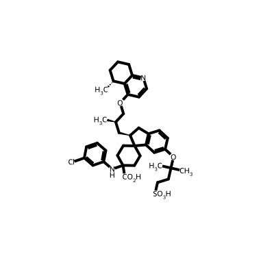 C[C@@H](COc1ccnc2c1[C@H](C)CCC2)C[C@H]1Cc2ccc(OC(C)(C)CCS(=O)(=O)O)cc2C12CCC(Nc1cccc(Cl)c1)(C(=O)O)CC2